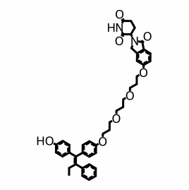 CCC(=C(c1ccc(O)cc1)c1ccc(OCCCOCCCOCCCOc2ccc3c(c2)CN(C2CCC(=O)NC2=O)C3=O)cc1)c1ccccc1